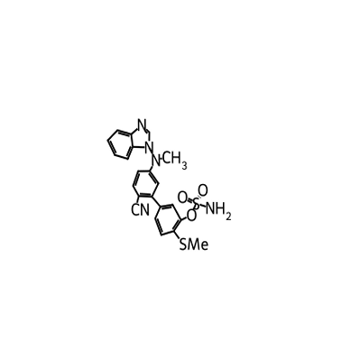 CSc1ccc(-c2cc(N(C)n3cnc4ccccc43)ccc2C#N)cc1OS(N)(=O)=O